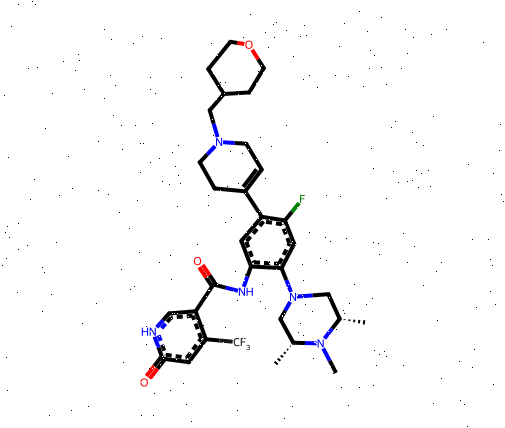 C[C@@H]1CN(c2cc(F)c(C3=CCN(CC4CCOCC4)CC3)cc2NC(=O)c2c[nH]c(=O)cc2C(F)(F)F)C[C@H](C)N1C